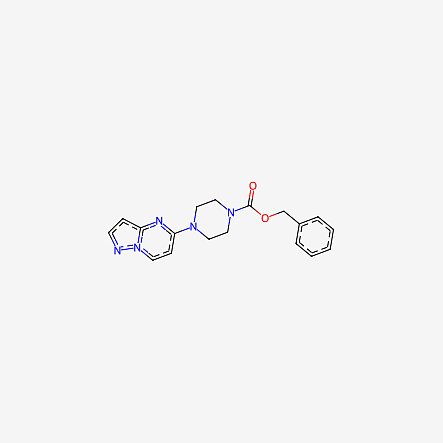 O=C(OCc1ccccc1)N1CCN(c2ccn3nccc3n2)CC1